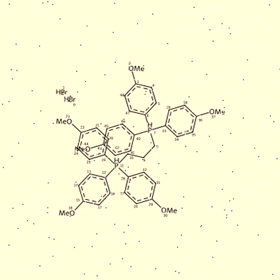 Br.Br.COc1ccc([PH](CCC[PH](c2ccc(OC)cc2)(c2ccc(OC)cc2)c2ccc(OC)cc2)(c2ccc(OC)cc2)c2ccc(OC)cc2)cc1